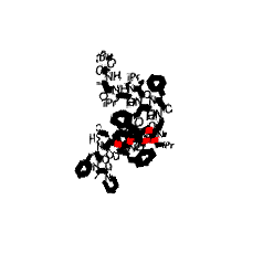 CC(C)C[C@@H](C(=O)N(C)[C@H](C(=O)N[C@@H](Cc1ccccc1)C(=O)N[C@@H](CC(=O)S)C(=O)N(C)[C@@H](Cc1ccccc1)C(=O)N[C@@H](C)C(=O)N1CCCCC1)C(C)C)N(C)C(=O)CNC(=O)[C@H](Cc1ccccc1)N(C)C(=O)[C@@H](NC(=O)[C@H](CC(C)C)N(C)C(=O)[C@@H](NC(=O)[C@H](C)NC(=O)OC(C)(C)C)C(C)C)[C@@H](C)OC(c1ccccc1)(c1ccccc1)c1ccccc1